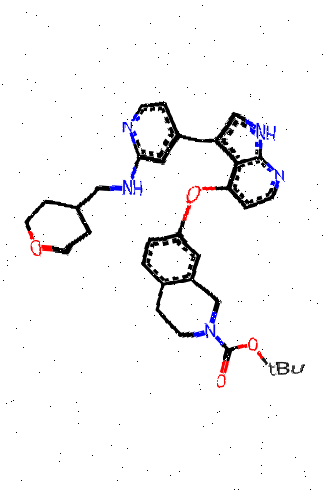 CC(C)(C)OC(=O)N1CCc2ccc(Oc3ccnc4[nH]cc(-c5ccnc(NCC6CCOCC6)c5)c34)cc2C1